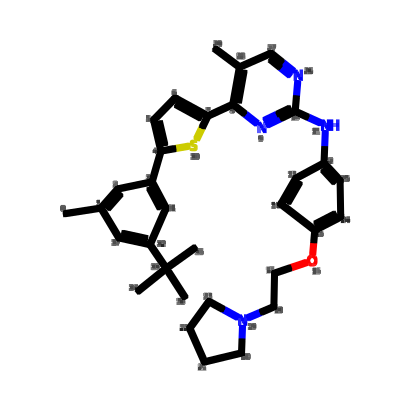 Cc1cc(-c2ccc(-c3nc(Nc4ccc(OCCN5CCCC5)cc4)ncc3C)s2)cc(C(C)(C)C)c1